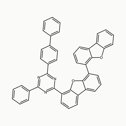 c1ccc(-c2ccc(-c3nc(-c4ccccc4)nc(-c4cccc5c4oc4c(-c6cccc7c6oc6ccccc67)cccc45)n3)cc2)cc1